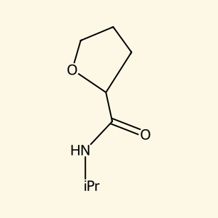 CC(C)NC(=O)C1CCCO1